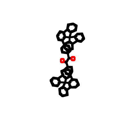 O=C(C(=O)c1ccc(-c2cccc3c2C2(c4ccccc4-c4ccccc42)c2ccccc2-3)cc1)c1ccc(-c2cccc3c2C2(c4ccccc4-c4ccccc42)c2ccccc2-3)cc1